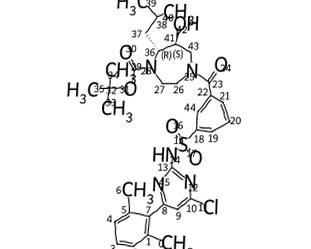 Cc1cccc(C)c1-c1cc(Cl)nc(NS(=O)(=O)c2cccc(C(=O)N3CCN(C(=O)OC(C)(C)C)[C@H](CC(C)C)[C@@H](O)C3)c2)n1